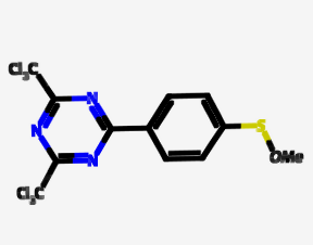 COSc1ccc(-c2nc(C(Cl)(Cl)Cl)nc(C(Cl)(Cl)Cl)n2)cc1